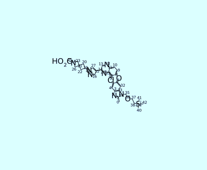 Cc1nc2ccc(Oc3ccc4ncc(-c5cnn(C6CC7(C6)CN(C(=O)O)C7)c5)nc4c3Cl)cc2n1COCC[Si](C)(C)C